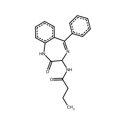 CCCC(=O)NC1N=C(c2ccccc2)c2ccccc2NC1=O